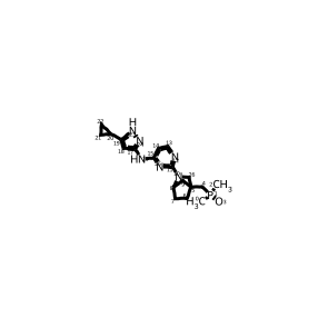 CP(C)(=O)CC12CCC(C1)N(c1nccc(Nc3cc(C4CC4)[nH]n3)n1)C2